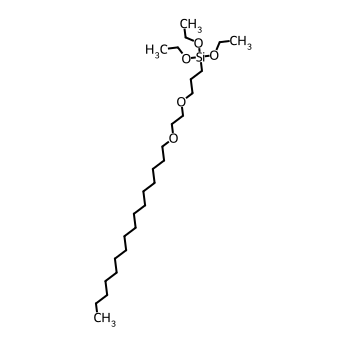 CCCCCCCCCCCCCCCCOCCOCCC[Si](OCC)(OCC)OCC